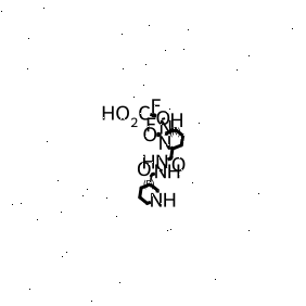 O=C(NNC(=O)[C@@H]1CCCNC1)C1CC[C@@H]2CN1C(=O)N2OC(F)(F)C(=O)O